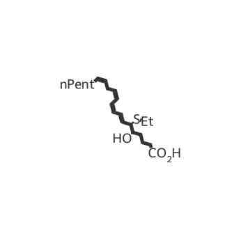 CCCCC/C=C\C\C=C/C=C\C=C\[C@@H](SCC)[C@@H](O)CCCC(=O)O